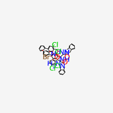 Cc1ccccc1-c1ccc(CC(NC(C(=O)N2Cc3ccccc3C2)C(NC(N)(Cc2cccc(Cl)c2Cl)C(=O)N2Cc3ccccc3C2)c2ccc(Br)cc2Cl)C(=O)N2Cc3ccccc3C2)c(Cl)c1